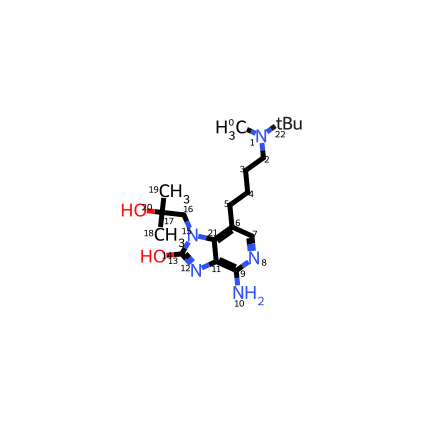 CN(CCCCc1cnc(N)c2nc(O)n(CC(C)(C)O)c12)C(C)(C)C